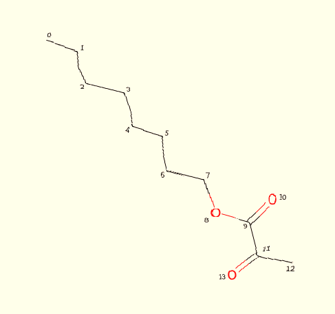 CCCCCCCCOC(=O)C(C)=O